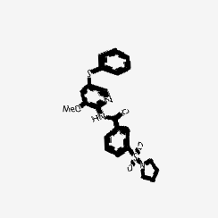 COc1cc(Sc2ccccc2)cnc1NC(=O)c1cccc(S(=O)(=O)N2CCCC2)c1